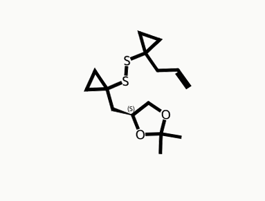 C=CCC1(SSC2(C[C@H]3COC(C)(C)O3)CC2)CC1